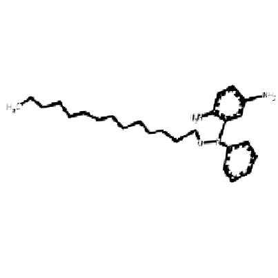 CCCCCCCCCCCCCCON(c1ccccc1)c1cc(N)ccc1N